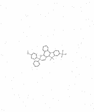 COc1ccc(C2(c3ccccc3)C=Cc3c4c(c5ccccc5c3O2)-c2ccc(C(F)(F)F)cc2C4(C)C)cc1